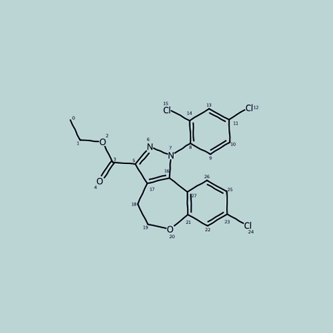 CCOC(=O)c1nn(-c2ccc(Cl)cc2Cl)c2c1CCOc1cc(Cl)ccc1-2